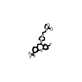 O=C1OCCN1CCN1CCN(C2Cc3ccc(C(F)(F)F)cc3Sc3ccc(F)cc32)CC1